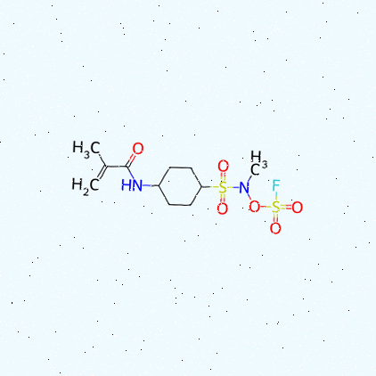 C=C(C)C(=O)NC1CCC(S(=O)(=O)N(C)OS(=O)(=O)F)CC1